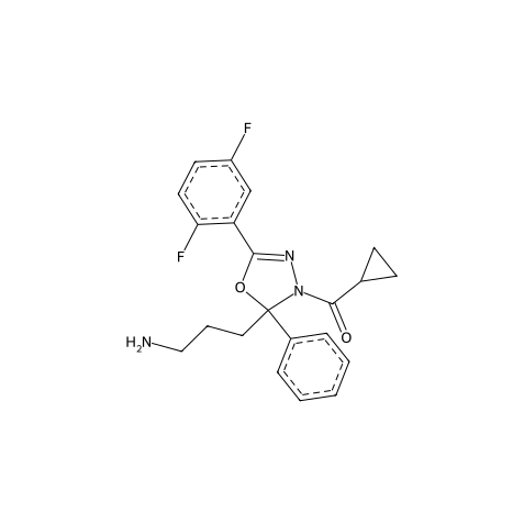 NCCCC1(c2ccccc2)OC(c2cc(F)ccc2F)=NN1C(=O)C1CC1